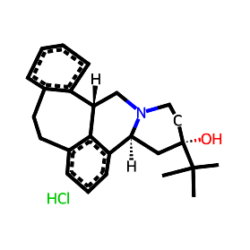 CC(C)(C)[C@]1(O)CCN2C[C@H]3c4ccccc4CCc4cccc(c43)[C@@H]2C1.Cl